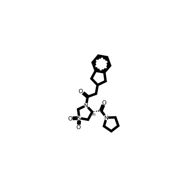 O=C([C@@H]1CS(=O)(=O)CN1C(=O)CC1Cc2ccccc2C1)N1CCCC1